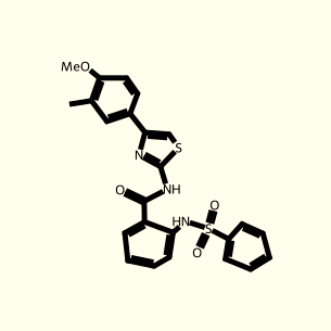 COc1ccc(-c2csc(NC(=O)c3ccccc3NS(=O)(=O)c3ccccc3)n2)cc1C